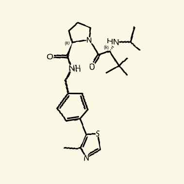 Cc1ncsc1-c1ccc(CNC(=O)[C@H]2CCCN2C(=O)[C@H](NC(C)C)C(C)(C)C)cc1